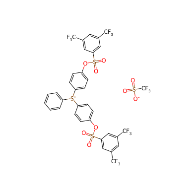 O=S(=O)(Oc1ccc([S+](c2ccccc2)c2ccc(OS(=O)(=O)c3cc(C(F)(F)F)cc(C(F)(F)F)c3)cc2)cc1)c1cc(C(F)(F)F)cc(C(F)(F)F)c1.O=S(=O)([O-])C(F)(F)F